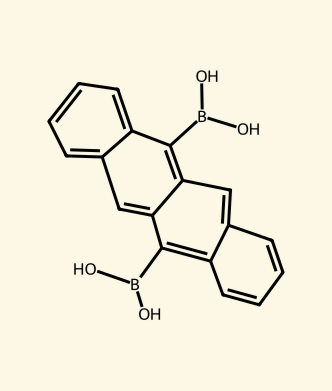 OB(O)c1c2ccccc2cc2c(B(O)O)c3ccccc3cc12